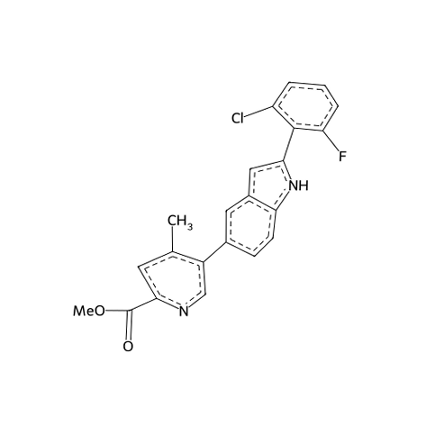 COC(=O)c1cc(C)c(-c2ccc3[nH]c(-c4c(F)cccc4Cl)cc3c2)cn1